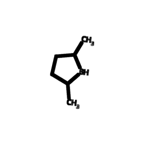 CC1BC(C)CC1